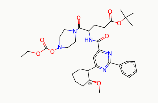 CCOC(=O)ON1CCN(C(=O)C(CCC(=O)OC(C)(C)C)NC(=O)c2cc(C3CCCC[C@@H]3OC)nc(-c3ccccc3)n2)CC1